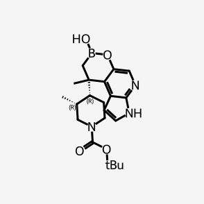 C[C@H]1CN(C(=O)OC(C)(C)C)CC[C@H]1C1(C)CB(O)Oc2cnc3[nH]ccc3c21